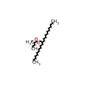 CCCCCCCCCCCCC(CCCCCCCCCCC)COC(=O)C(C)CCC